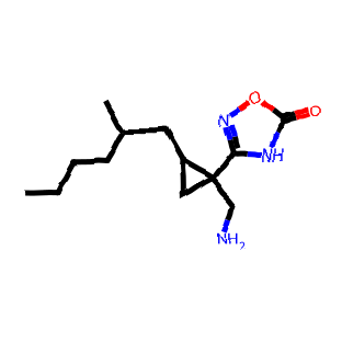 CCCCC(C)CC1CC1(CN)c1noc(=O)[nH]1